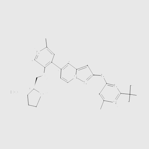 Cc1cc(-c2ccn3nc(Nc4cc(C)nc(C(C)(C)C)n4)cc3c2)c(OC[C@H]2OCC[C@@H]2O)cn1